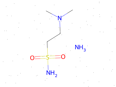 CN(C)CCS(N)(=O)=O.N